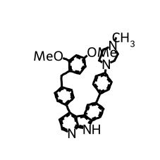 COc1ccc(Cc2ccc(-c3ccnc4[nH]c5ccc(-c6ccc(N7CCN(C)CC7)cc6)cc5c34)cc2)c(OC)c1